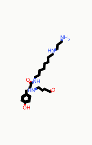 NCCCNCCCCCCCCNC(=O)[C@@H](Cc1ccc(O)cc1)NCCCC=O